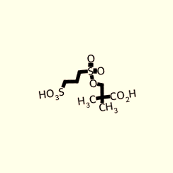 CC(C)(COS(=O)(=O)CCCS(=O)(=O)O)C(=O)O